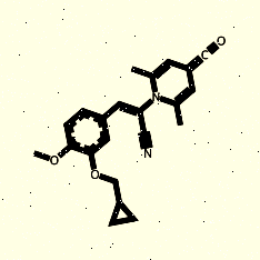 COc1ccc(/C=C(\C#N)N2C(C)=CC(=C=O)C=C2C)cc1OCC1CC1